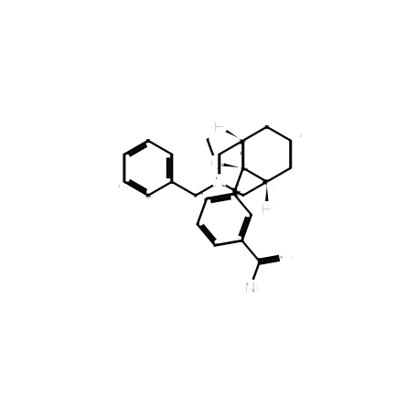 CO[C@]1(c2cccc(C(N)=O)c2)[C@@H]2CCC[C@H]1CN(Cc1ccccc1)C2